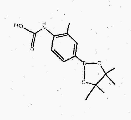 Cc1cc(B2OC(C)(C)C(C)(C)O2)ccc1NC(=O)O